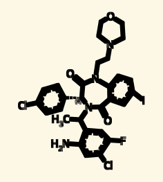 CC(c1cc(F)c(Cl)cc1N)N1C(=O)c2cc(I)ccc2N(CCN2CCOCC2)C(=O)[C@H]1c1ccc(Cl)cc1